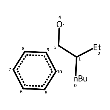 CCCCC(CC)C[O].c1ccccc1